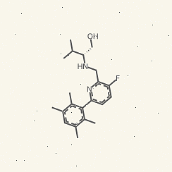 Cc1cc(C)c(C)c(-c2ccc(F)c(CN[C@@H](CO)C(C)C)n2)c1C